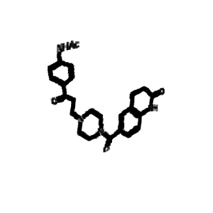 CC(=O)Nc1ccc(C(=O)CCN2CCN(C(=O)c3ccc4c(c3)CCC(=O)N4)CC2)cc1